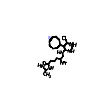 CCCC(CCCC1NC(C)NO1)CNC1NCNC(Cl)C1C1CC/C=C\CCC1